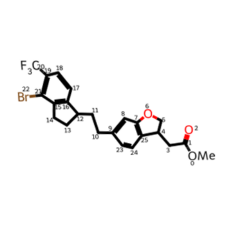 COC(=O)CC1COc2cc(CCC3CCc4c3ccc(C(F)(F)F)c4Br)ccc21